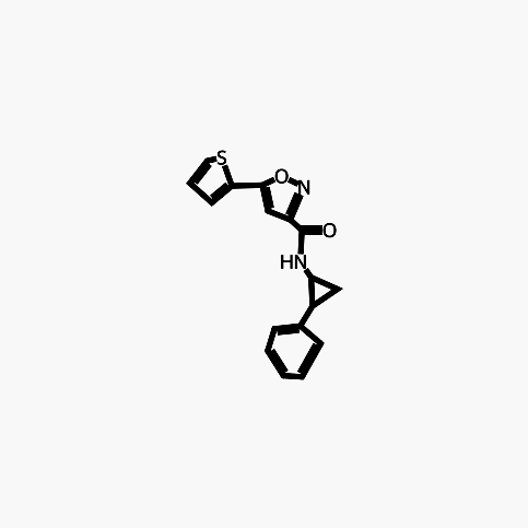 O=C(NC1CC1c1ccccc1)c1cc(-c2cccs2)on1